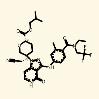 CCN(CC(F)(F)F)C(=O)c1ccc(Nc2nn([C@]3(CC#N)CC[C@@H](C(=O)OCC(C)C)OC3)c3cc[nH]c(=O)c23)cc1C